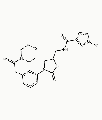 N=C(Cc1cccc(N2CC(CNC(=O)c3ccc(Cl)s3)OC2=O)c1)N1CCOCC1